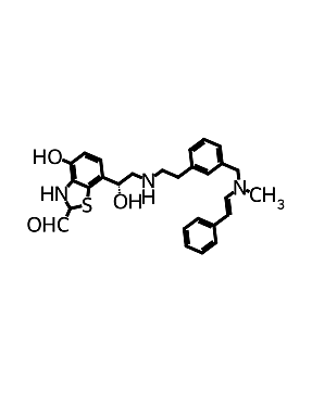 CN(C=Cc1ccccc1)Cc1cccc(CCNC[C@H](O)c2ccc(O)c3c2SC(C=O)N3)c1